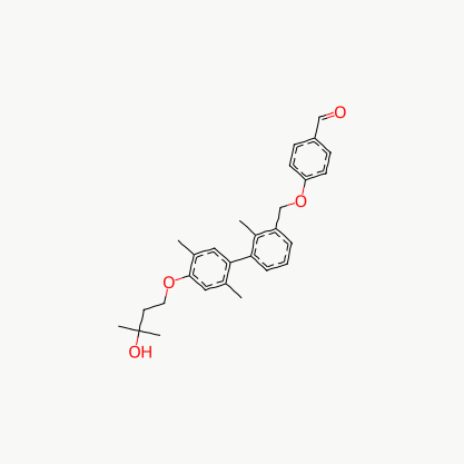 Cc1cc(-c2cccc(COc3ccc(C=O)cc3)c2C)c(C)cc1OCCC(C)(C)O